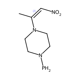 C/C(=C/[N+](=O)[O-])N1CCN(P)CC1